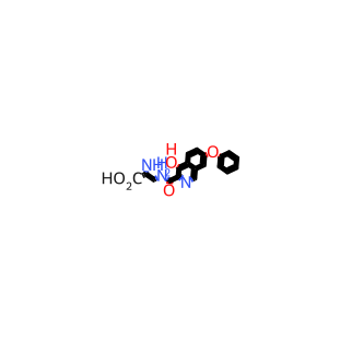 NC(CNC(=O)c1ncc2cc(Oc3ccccc3)ccc2c1O)C(=O)O